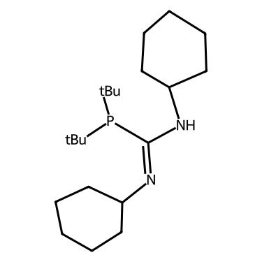 CC(C)(C)P(/C(=N\C1CCCCC1)NC1CCCCC1)C(C)(C)C